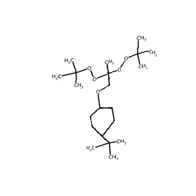 CC(C)(C)OOC(C)(COC1CCC(C(C)(C)C)CC1)OOC(C)(C)C